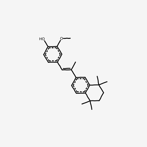 COc1cc(/C=C(\C)c2ccc3c(c2)C(C)(C)CCC3(C)C)ccc1O